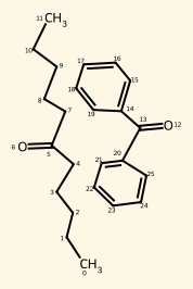 CCCCCC(=O)CCCCC.O=C(c1ccccc1)c1ccccc1